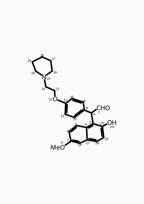 COc1ccc2c(C(C=O)c3ccc(OCCN4CCCCC4)cc3)c(O)ccc2c1